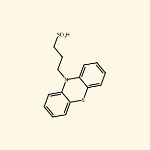 O=S(=O)(O)CCCN1c2ccccc2Sc2ccccc21